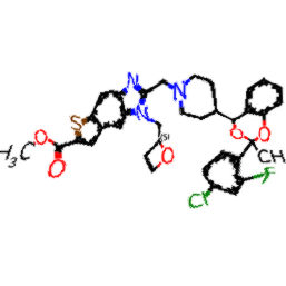 COC(=O)c1cc2cc3c(cc2s1)nc(CN1CCC(C2OC(C)(c4ccc(Cl)cc4F)Oc4ccccc42)CC1)n3C[C@@H]1CCO1